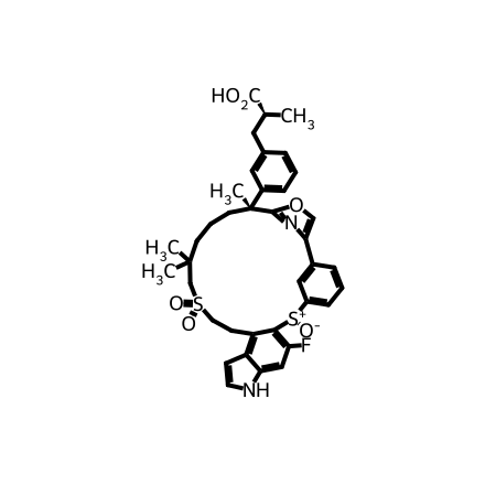 C[C@@H](Cc1cccc([C@@]2(C)CCCC(C)(C)CS(=O)(=O)CCc3c(c(F)cc4[nH]ccc34)[S+]([O-])c3cccc(c3)-c3coc2n3)c1)C(=O)O